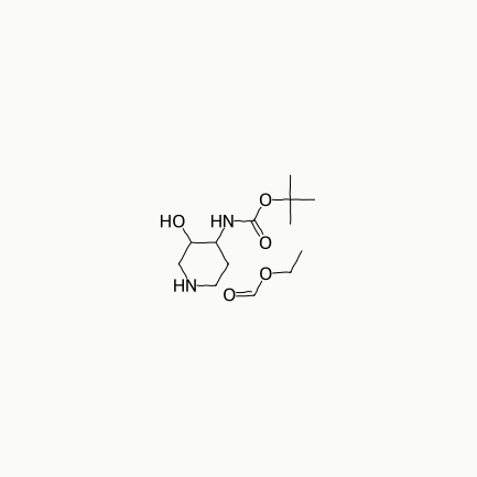 CC(C)(C)OC(=O)NC1CCNCC1O.CCOC=O